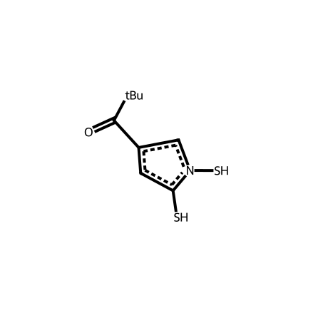 CC(C)(C)C(=O)c1cc(S)n(S)c1